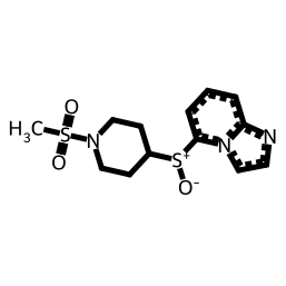 CS(=O)(=O)N1CCC([S+]([O-])c2cccc3nccn23)CC1